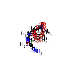 CC[C@H]1OC(=O)[C@H](C)C([C@H]2C[C@@](C)(OC)[C@@H](O)[C@H](C)O2)[C@H](C)[C@@H](O[C@@H]2O[C@H](C)C[C@H](N(C)CCc3cn([C@H](CF)[C@H](OC)c4ccc(-c5cnc(N)nc5)cc4)nn3)[C@H]2O)[C@](C)(OC)C[C@@H](C)C(=O)[C@H](C)[C@H]2N(CC3COCCO3)C(=O)O[C@]12C